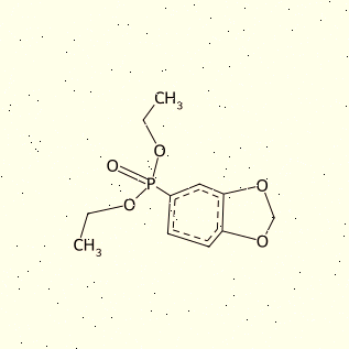 CCOP(=O)(OCC)c1ccc2c(c1)OCO2